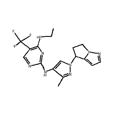 CCNc1nc(Nc2cn(C3CCn4nccc43)nc2C)ncc1C(F)(F)F